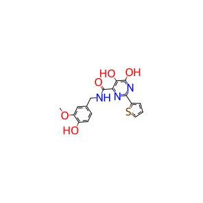 COc1cc(CNC(=O)c2nc(-c3cccs3)nc(O)c2O)ccc1O